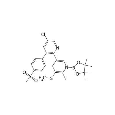 CC1=C(SC(F)(F)F)CC(c2ncc(Cl)cc2-c2ccc(S(C)(=O)=O)cc2)=CN1B1OC(C)(C)C(C)(C)O1